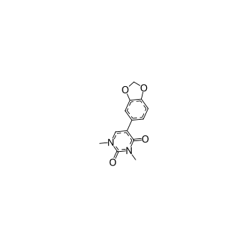 Cn1cc(-c2ccc3c(c2)OCO3)c(=O)n(C)c1=O